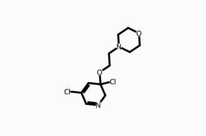 ClC1=CC(Cl)(OCCN2CCOCC2)CN=C1